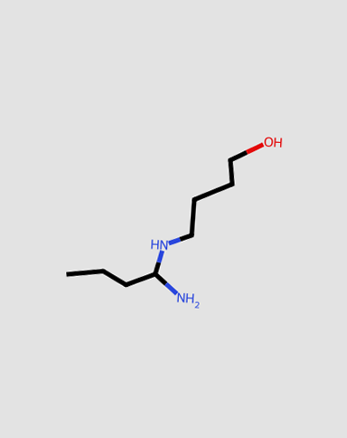 CCCC(N)NCCCCO